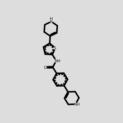 O=C(Nc1ccc(C2=CCNCC2)s1)c1ccc(C2=CCNCC2)cc1